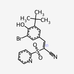 CC(C)(C)c1cc(/C=C(/C#N)S(=O)(=O)c2ccccn2)cc(Br)c1O